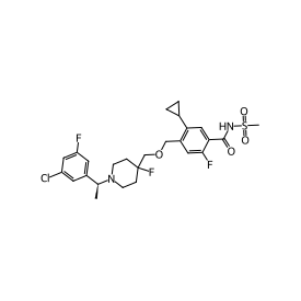 C[C@@H](c1cc(F)cc(Cl)c1)N1CCC(F)(COCc2cc(F)c(C(=O)NS(C)(=O)=O)cc2C2CC2)CC1